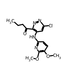 CCCC(=O)c1nnc(Cl)cc1Nc1ccc(OC)c(OC)n1